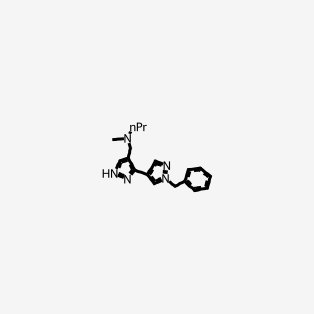 CCCN(C)Cc1c[nH]nc1-c1cnn(Cc2ccccc2)c1